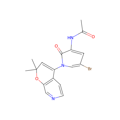 CC(=O)Nc1cc(Br)cn(C2=CC(C)(C)Oc3cnccc32)c1=O